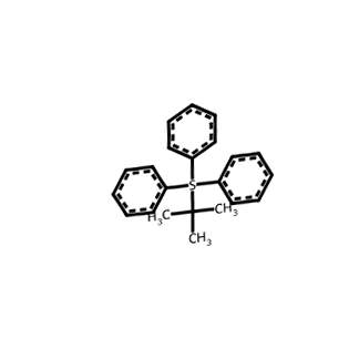 CC(C)(C)S(c1ccccc1)(c1ccccc1)c1ccccc1